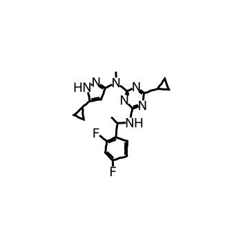 CC(Nc1nc(C2CC2)nc(N(C)c2cc(C3CC3)[nH]n2)n1)c1ccc(F)cc1F